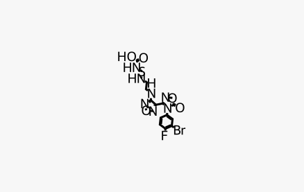 O=C(O)NSNCCNc1nonc1-c1noc(=O)n1-c1ccc(F)c(Br)c1